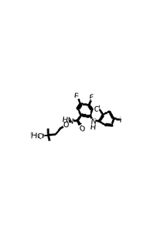 CC(C)(O)CCONC(=O)c1cc(F)c(F)cc1Nc1ccc(I)cc1Cl